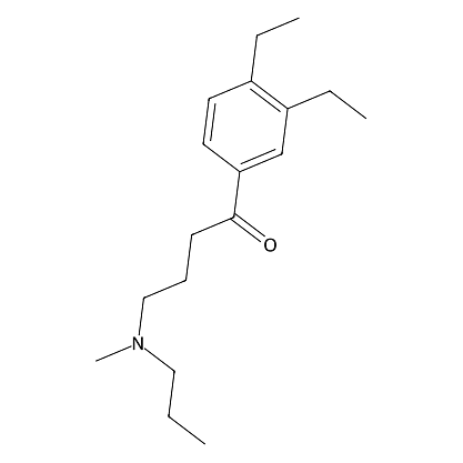 CCCN(C)CCCC(=O)c1ccc(CC)c(CC)c1